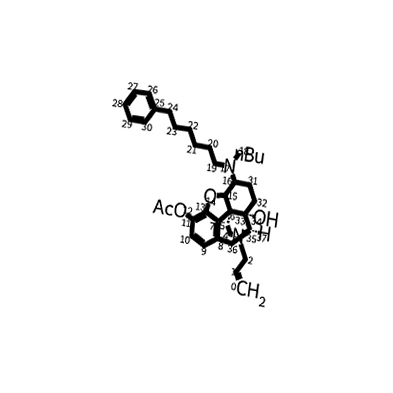 C=CCN1CC[C@]23c4c5ccc(OC(C)=O)c4OC2C(N(CCCC)CCCCCCc2ccccc2)CC[C@@]3(O)[C@H]1C5